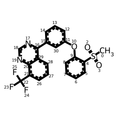 CS(=O)(=O)c1ccccc1Oc1cccc(-c2ncnc3c(C(F)(F)F)cccc23)c1